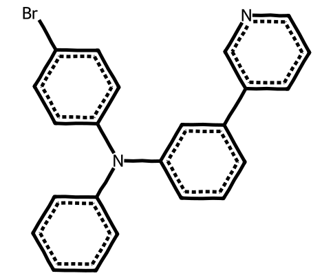 Brc1ccc(N(c2ccccc2)c2cccc(-c3cccnc3)c2)cc1